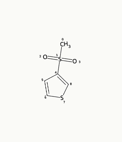 CS(=O)(=O)c1c[c]sc1